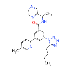 CCCCc1nnnn1-c1cc(C(=O)NC(C)c2cnccn2)cc(-c2ccc(C)cn2)c1